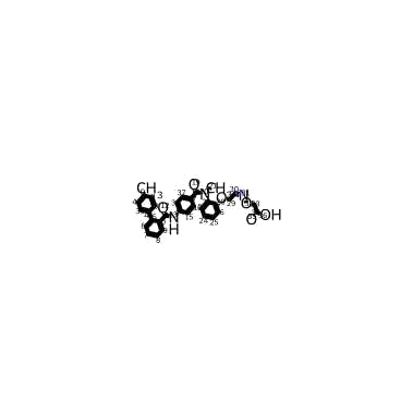 Cc1ccc(-c2ccccc2C(=O)Nc2ccc(C(=O)N(C)c3ccccc3OC/C=N\OCC(=O)O)cc2)cc1